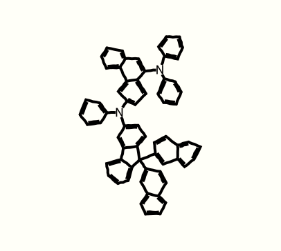 c1ccc(N(c2ccc3c(c2)-c2ccccc2C3(c2ccc3ccccc3c2)c2ccc3ccccc3c2)c2ccc3c(N(c4ccccc4)c4ccccc4)cc4ccccc4c3c2)cc1